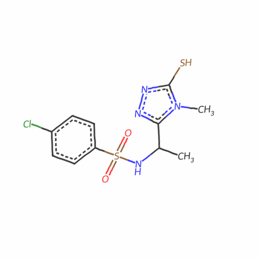 CC(NS(=O)(=O)c1ccc(Cl)cc1)c1nnc(S)n1C